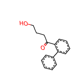 O=C(CCCO)c1ccccc1-c1ccccc1